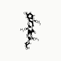 Cn1c(Cn2c(=O)c3c(nc(N4CC(O)C4)n3C)n(C)c2=O)cc2cc(Cl)ccc21